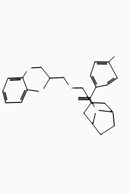 COc1ccc(C(=O)N2C3CCC2CC(CNCC2COc4ccccc4O2)C3)cc1.Cl